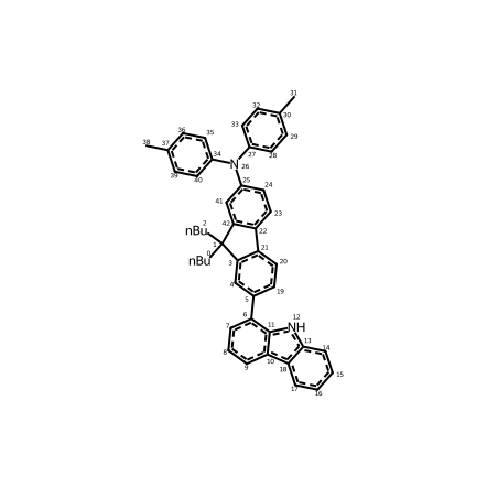 CCCCC1(CCCC)c2cc(-c3cccc4c3[nH]c3ccccc34)ccc2-c2ccc(N(c3ccc(C)cc3)c3ccc(C)cc3)cc21